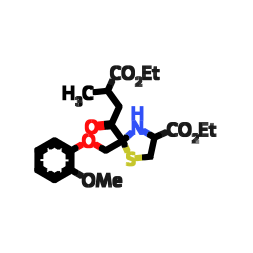 CCOC(=O)C(C)CC(=O)C1(COc2ccccc2OC)NC(C(=O)OCC)CS1